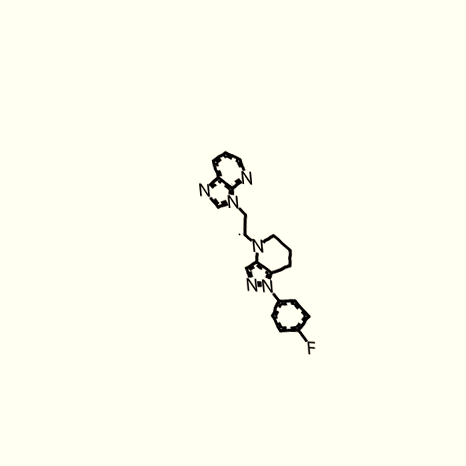 Fc1ccc(-n2ncc3c2CCCN3[CH]Cn2cnc3cccnc32)cc1